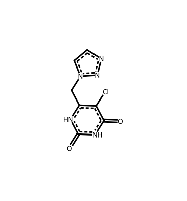 O=c1[nH]c(Cn2ccnn2)c(Cl)c(=O)[nH]1